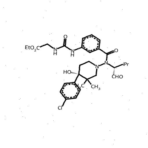 CCOC(=O)CNC(=O)Nc1cccc(C(=O)N([C@@H](C=O)C(C)C)N2CC[C@](O)(c3ccc(Cl)cc3)C(C)(C)C2)c1